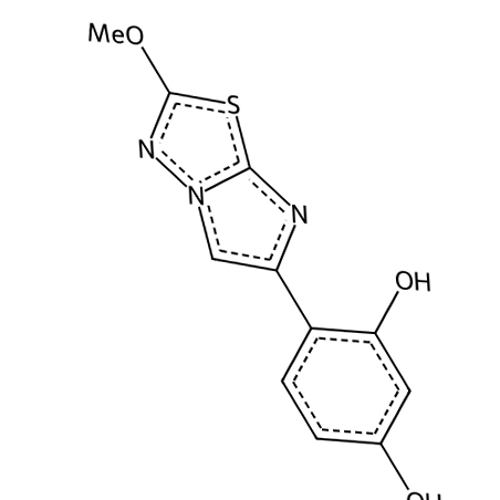 COc1nn2cc(-c3ccc(O)cc3O)nc2s1